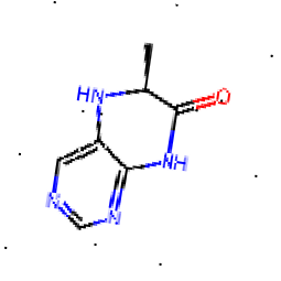 C[C@@H]1Nc2cncnc2NC1=O